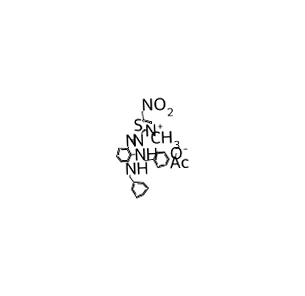 CC(=O)[O-].C[n+]1cc(C[N+](=O)[O-])sc1N=Nc1cccc(NCc2ccccc2)c1NCc1ccccc1